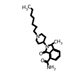 CCCCCCCN1CCC(N2C(=O)c3c(C(N)=O)cccc3C2C)CC1